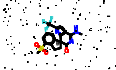 CNC1=NC(=O)[C@@]2(CCc3c2cccc3S(C)(=O)=O)c2nc(C(F)(F)F)ccc21